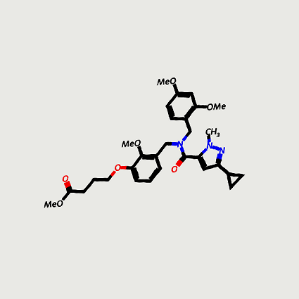 COC(=O)CCCOc1cccc(CN(Cc2ccc(OC)cc2OC)C(=O)c2cc(C3CC3)nn2C)c1OC